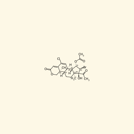 CC(=O)O[C@H]1[C@H]2[C@@H]3C=C(Cl)C4=CC(=O)OC[C@]4(C)[C@H]3CC[C@]2(C)[C@@](O)(C(C)=O)[C@@H]1Br